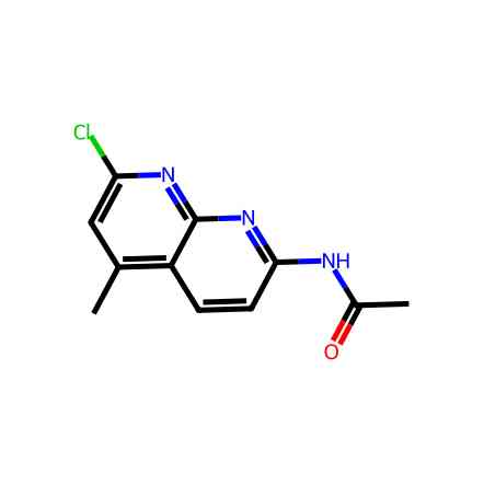 CC(=O)Nc1ccc2c(C)cc(Cl)nc2n1